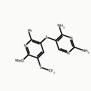 COc1nc(C(C)C)c(Sc2cnc(N)nc2N)cc1SC(F)(F)F